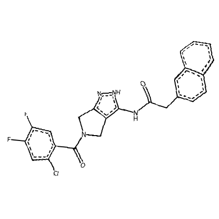 O=C(Cc1ccc2ccccc2c1)Nc1[nH]nc2c1CN(C(=O)c1cc(F)c(F)cc1Cl)C2